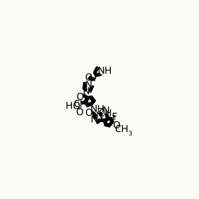 COc1ccc(-c2cnc(C(=O)Nc3ccc(C(=O)N4CCN(C(=O)C[C@@H]5CCNC5)CC4)c(Cl)c3)n2C)c(C#N)c1F.O=CO